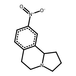 O=[N+]([O-])c1ccc2c(c1)C1CCCN1CC2